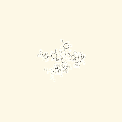 CC(C)(C)OC(=O)N[C@H](C(=O)NN(Cc1c(F)cc(-c2ccn(C(F)F)n2)cc1F)C[C@H](O)[C@H](Cc1ccc(I)cc1)NC(=O)[C@@H](NC(=O)O)C(C)(C)C(F)(F)F)C(C)(C)C(F)(F)F